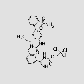 CCCN(Cc1cccc(C(=N)NC(=O)OCC(Cl)(Cl)Cl)c1)C(=O)Nc1ccc(-c2ccccc2S(N)(=O)=O)cc1